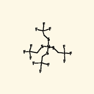 FC(F)(F)CS[Si](SCC(F)(F)F)(SCC(F)(F)F)SCC(F)(F)F